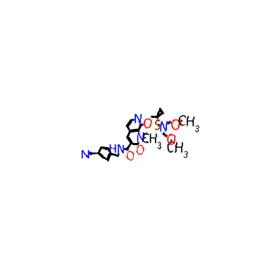 COCN(COC)SC1(COc2nccc3cc(C(=O)NCc4ccc(C#N)cc4)c(=O)n(C)c23)CC1